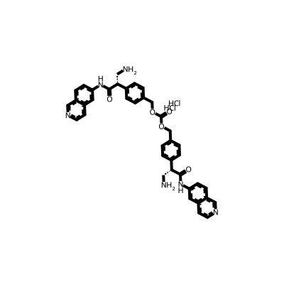 Cl.Cl.NC[C@@H](C(=O)Nc1ccc2cnccc2c1)c1ccc(COC(=O)OCc2ccc([C@@H](CN)C(=O)Nc3ccc4cnccc4c3)cc2)cc1